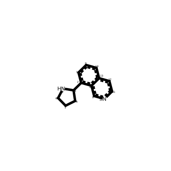 c1cc(C2CCCN2)c2cnccc2c1